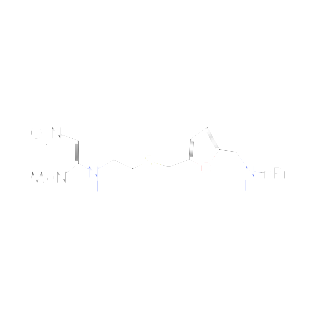 CCCNCc1ccc(CSCCNC(=C[N+](=O)[O-])NC)o1